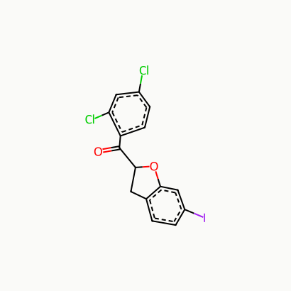 O=C(c1ccc(Cl)cc1Cl)C1Cc2ccc(I)cc2O1